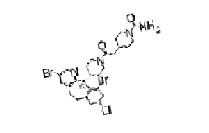 NC(=O)N1CC=C(CC(=O)N2CCC([C@H]3c4ncc(Br)cc4CCc4cc(Cl)cc(Br)c43)CC2)CC1